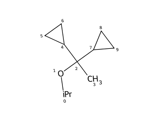 CC(C)OC(C)(C1CC1)C1CC1